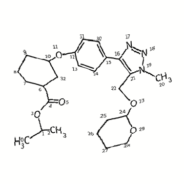 CC(C)OC(=O)C1CCCC(Oc2ccc(-c3nnn(C)c3COC3CCCCO3)cc2)C1